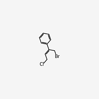 ClCC=C(CBr)c1ccccc1